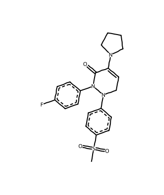 CS(=O)(=O)c1ccc(N2CC=C(N3CCCC3)C(=O)N2c2ccc(F)cc2)cc1